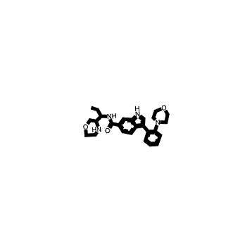 CCC(NC(=O)c1ccc2c(-c3ccccc3N3CCOCC3)c[nH]c2c1)C1COCCN1